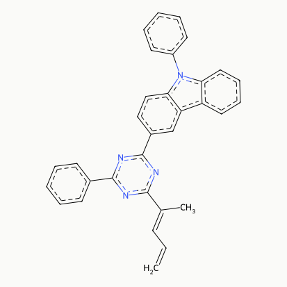 C=C/C=C(\C)c1nc(-c2ccccc2)nc(-c2ccc3c(c2)c2ccccc2n3-c2ccccc2)n1